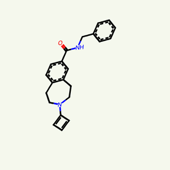 O=C(NCc1ccccc1)c1ccc2c(c1)CCN(C1=CC=C1)CC2